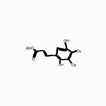 COC(=O)C=Cc1cc(O)c(C#N)c(C#N)c1O